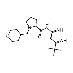 CC(C)(C)C(=N)SC(=N)NC(=O)[C@@H]1CCCN1CC1CCOCC1